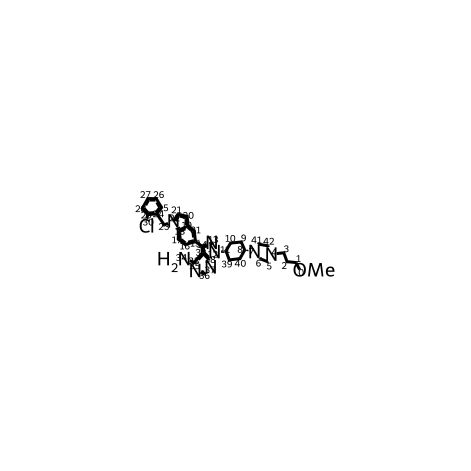 COCCCN1CCN([C@H]2CC[C@@H](n3nc(-c4ccc5c(ccn5Cc5ccccc5Cl)c4)c4c(N)ncnc43)CC2)CC1